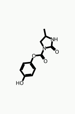 CC1CN(C(=O)Oc2ccc(O)cc2)C(=O)N1